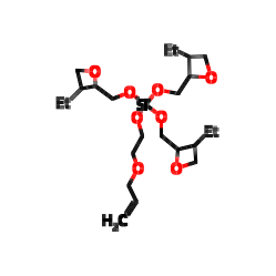 C=CCOCCO[Si](OCC1OCC1CC)(OCC1OCC1CC)OCC1OCC1CC